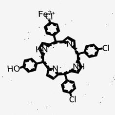 Oc1ccc(-c2c3nc(c(-c4ccc(Cl)cc4)c4ccc([nH]4)c(-c4ccc(Cl)cc4)c4nc(c(-c5ccc(Cl)cc5)c5ccc2[nH]5)C=C4)C=C3)cc1.[Fe+2]